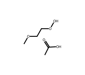 CC(=O)O.COCCOO